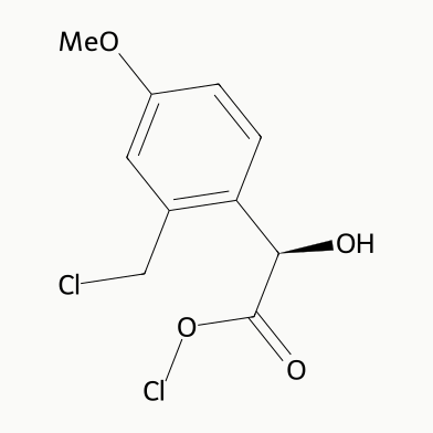 COc1ccc([C@@H](O)C(=O)OCl)c(CCl)c1